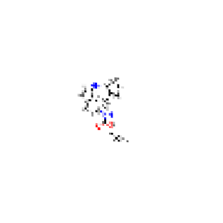 CCOC(=O)N[C@H]1CC=C2C=CC3=C2[C@H]1Cc1ccccc1N3